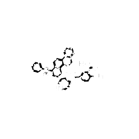 C1=CC=CNC=C1.Cc1ccc(C(=O)O)cc1C(=O)O.O=S(=O)(C1=CCCc2c1ccc1c2CCc2ccccc2-1)c1ccccc1